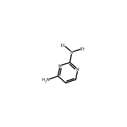 CCN(CC)c1nccc(N)n1